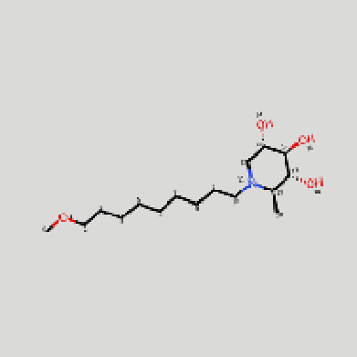 COCCCCCCCCCN1C[C@H](O)[C@@H](O)[C@H](O)[C@H]1C